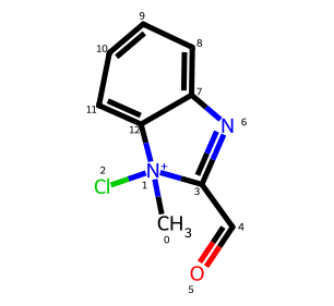 C[N+]1(Cl)C(C=O)=Nc2ccccc21